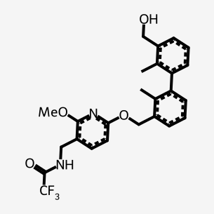 COc1nc(OCc2cccc(-c3cccc(CO)c3C)c2C)ccc1CNC(=O)C(F)(F)F